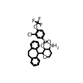 NC1CCOC(C2c3ccccc3CCc3ccccc32)C1OS(=O)c1ccc(OC(F)(F)F)c(Cl)c1